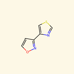 [c]1conc1-c1cscn1